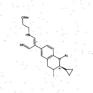 COCCN/C=C(\C=N)c1ccc2c(c1)CC(C)[C@H](C1CC1)N2C(C)=O